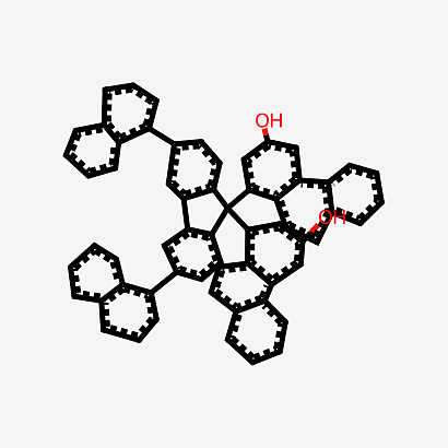 Oc1cc(C2(c3cc(O)cc4c3ccc3ccccc34)c3ccc(-c4cccc5ccccc45)cc3-c3cc(-c4cccc5ccccc45)ccc32)c2ccc3ccccc3c2c1